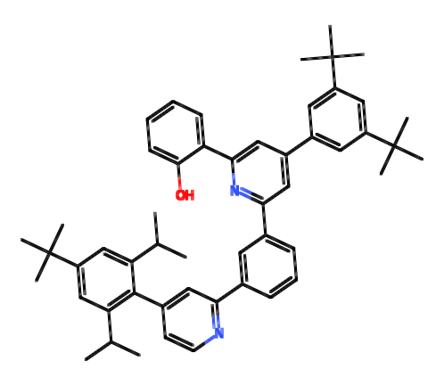 CC(C)c1cc(C(C)(C)C)cc(C(C)C)c1-c1ccnc(-c2cccc(-c3cc(-c4cc(C(C)(C)C)cc(C(C)(C)C)c4)cc(-c4ccccc4O)n3)c2)c1